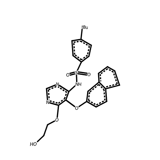 CC(C)(C)c1ccc(S(=O)(=O)Nc2ncnc(OCCO)c2Oc2ccc3ccccc3c2)cc1